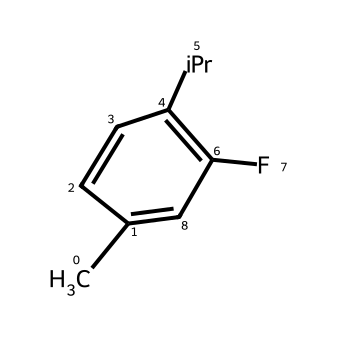 Cc1ccc(C(C)C)c(F)c1